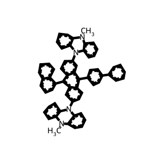 CN1c2ccccc2N(c2ccc3c(-c4cccc5ccccc45)c4cc(N5c6ccccc6N(C)c6ccccc65)ccc4c(-c4ccc(-c5ccccc5)cc4)c3c2)c2ccccc21